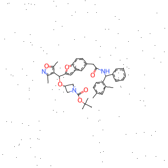 Cc1ccc(C(NC(=O)Cc2ccc3oc(C(OC4CN(C(=O)OC(C)(C)C)C4)c4c(C)noc4C)cc3c2)c2ccccc2)c(C)c1